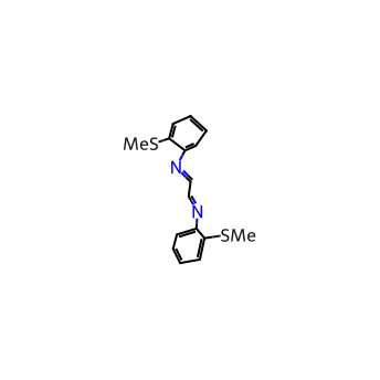 CSc1ccccc1N=CC=Nc1ccccc1SC